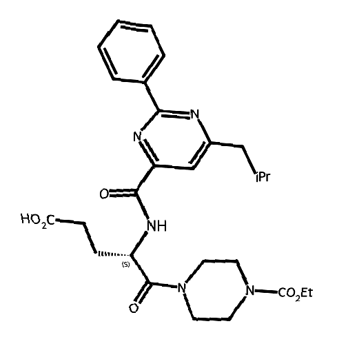 CCOC(=O)N1CCN(C(=O)[C@H](CCC(=O)O)NC(=O)c2cc(CC(C)C)nc(-c3ccccc3)n2)CC1